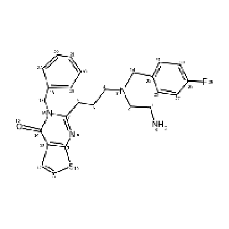 NCCN(CCCc1nc2sccc2c(=O)n1Cc1ccccc1)Cc1ccc(F)cc1